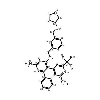 Cc1cc(-c2c(OCc3cccc(CO[C@H]4CCOC4)n3)nc(N)nc2-c2ccccc2)cc(C(F)(F)F)n1